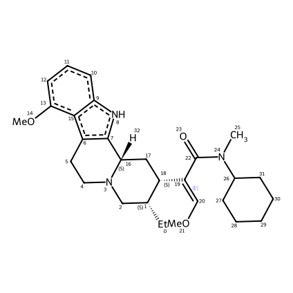 CC[C@@H]1CN2CCc3c([nH]c4cccc(OC)c34)[C@@H]2C[C@@H]1/C(=C\OC)C(=O)N(C)C1CCCCC1